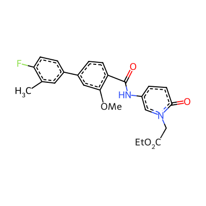 CCOC(=O)Cn1cc(NC(=O)c2ccc(-c3ccc(F)c(C)c3)cc2OC)ccc1=O